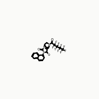 O=C1C2=C3CC(CN3C(=O)C(F)(F)C(F)(F)C(F)(F)C(F)(F)F)N2C(=O)N1c1cccc2ccccc12